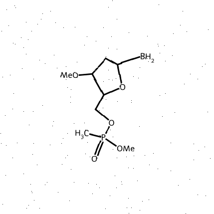 BC1CC(OC)C(COP(C)(=O)OC)O1